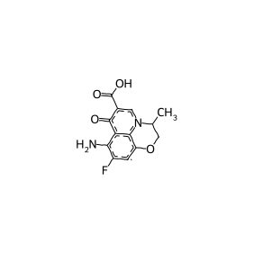 CC1COc2[c]c(F)c(N)c3c(=O)c(C(=O)O)cn1c23